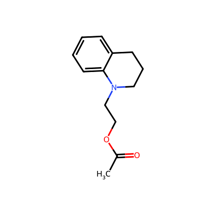 CC(=O)OCCN1CCCc2ccccc21